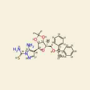 CC1(C)OC2[C@@H](O1)[C@@H](CO[Si](c1ccccc1)(c1ccccc1)C(C)(C)C)O[C@H]2c1cnn(C(N)=S)c1N